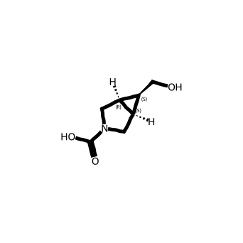 O=C(O)N1C[C@@H]2[C@H](CO)[C@@H]2C1